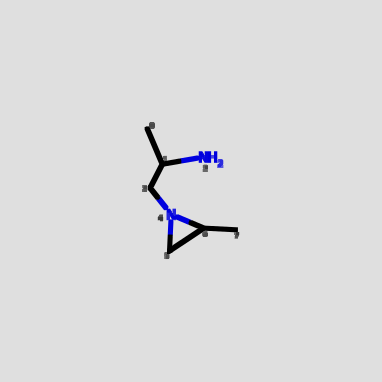 CC(N)CN1CC1C